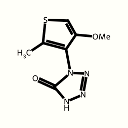 COc1csc(C)c1-n1nn[nH]c1=O